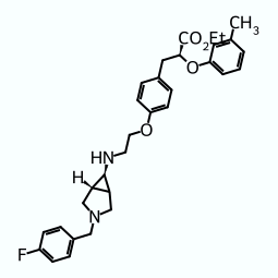 CCOC(=O)[C@H](Cc1ccc(OCCN[C@H]2C3CN(Cc4ccc(F)cc4)C[C@@H]32)cc1)Oc1cccc(C)c1